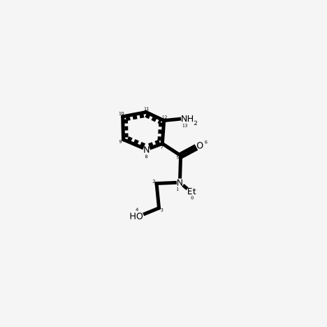 CCN(CCO)C(=O)c1ncccc1N